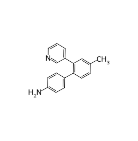 Cc1ccc(-c2ccc(N)cc2)c(-c2cccnc2)c1